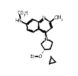 C1CC1.CCO[C@H]1CCN(c2cc(C)nc3cc(NC(=O)O)ccc23)C1